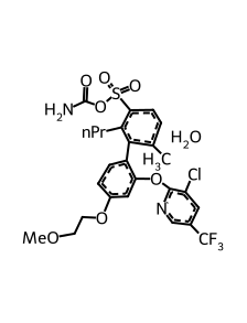 CCCc1c(S(=O)(=O)OC(N)=O)ccc(C)c1-c1ccc(OCCOC)cc1Oc1ncc(C(F)(F)F)cc1Cl.O